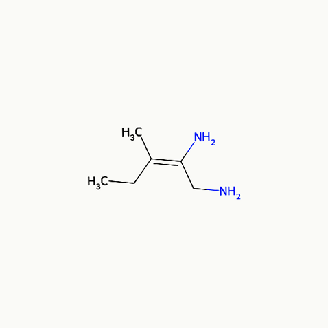 CC/C(C)=C(/N)CN